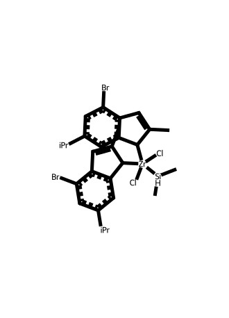 CC1=Cc2c(Br)cc(C(C)C)cc2[CH]1[Zr]([Cl])([Cl])([CH]1C(C)=Cc2c(Br)cc(C(C)C)cc21)[SiH](C)C